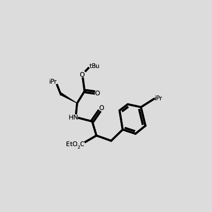 CCOC(=O)C(Cc1ccc(C(C)C)cc1)C(=O)N[C@@H](CC(C)C)C(=O)OC(C)(C)C